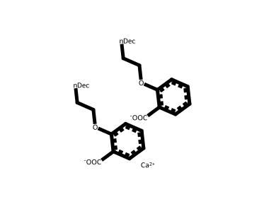 CCCCCCCCCCCCOc1ccccc1C(=O)[O-].CCCCCCCCCCCCOc1ccccc1C(=O)[O-].[Ca+2]